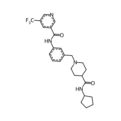 O=C(Nc1cccc(CN2CCC(C(=O)NC3CCCC3)CC2)c1)c1cncc(C(F)(F)F)c1